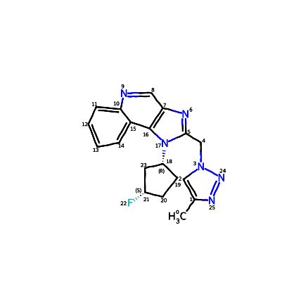 Cc1cn(Cc2nc3cnc4ccccc4c3n2[C@@H]2CC[C@H](F)C2)nn1